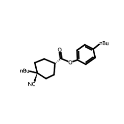 CCCCc1ccc(OC(=O)[C@H]2CC[C@@](C#N)(CCCC)CC2)cc1